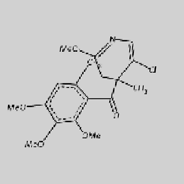 COC1=NC=C(Cl)C(C)(C(=O)c2c(C)cc(OC)c(OC)c2OC)C1